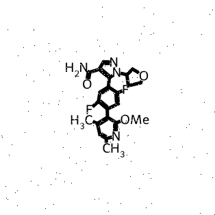 COc1nc(C)cc(C)c1-c1cc(F)c(-c2c(C(N)=O)cnn2C2CCOC2)cc1F